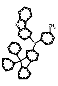 Cc1cccc(N(c2ccc3c(c2)C(c2ccccc2)(c2ccccc2)c2ccccc2-3)c2ccc3sc4ccccc4c3c2)c1